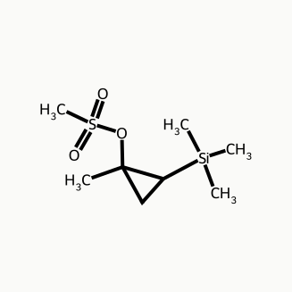 CC1(OS(C)(=O)=O)CC1[Si](C)(C)C